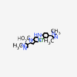 Cc1ncn(C)c1-c1ccc(Nc2cc3c(cn2)cc(-c2cnn(C)c2)n3C(=O)O)c(Cl)c1